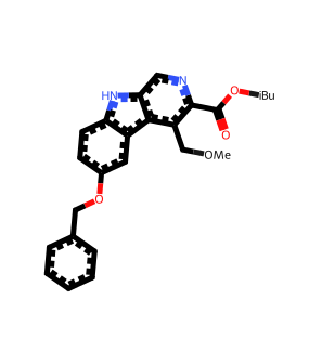 CCC(C)OC(=O)c1ncc2[nH]c3ccc(OCc4ccccc4)cc3c2c1COC